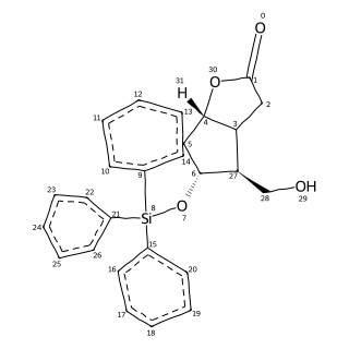 O=C1CC2[C@H](C[C@@H](O[Si](c3ccccc3)(c3ccccc3)c3ccccc3)[C@@H]2CO)O1